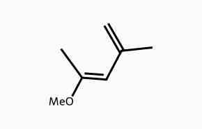 C=C(C)/C=C(\C)OC